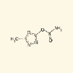 Cc1nnc(OC(N)=O)o1